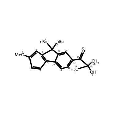 CCCCC1(CCCC)c2cc(OC)ccc2-c2ccc(C(=O)C(C)(C)O)cc21